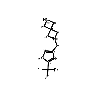 FC(F)(F)c1nc(CN2CC3(CNC3)C2)co1